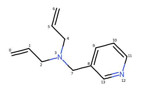 C=CCN(CC=C)Cc1cccnc1